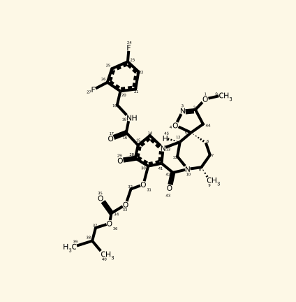 COC1=NO[C@@]2(CC[C@H](C)N3C[C@H]2n2cc(C(=O)NCc4ccc(F)cc4F)c(=O)c(OCOC(=O)OCC(C)C)c2C3=O)C1